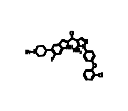 CC(C)N1CCC(c2cc3cc(C(=O)c4cnn(-c5ccc(Oc6ccccc6Cl)cc5)c4N)[nH]c3cc2F)CC1